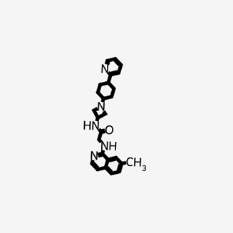 Cc1ccc2ccnc(NCC(=O)NC3CN(C4CCC(c5ccccn5)CC4)C3)c2c1